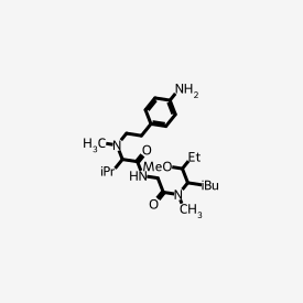 CCC(C)C(C(CC)OC)N(C)C(=O)CNC(=O)C(C(C)C)N(C)CCc1ccc(N)cc1